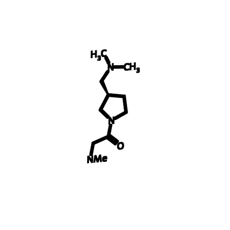 CNCC(=O)N1CC[C@H](CN(C)C)C1